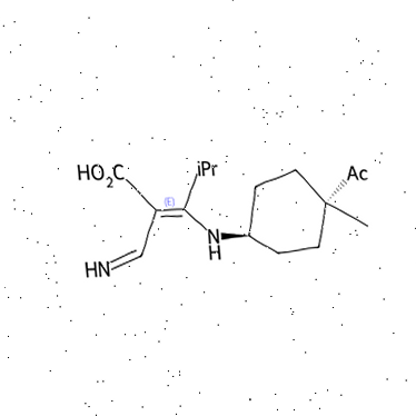 CC(=O)[C@]1(C)CC[C@@H](N/C(=C(\C=N)C(=O)O)C(C)C)CC1